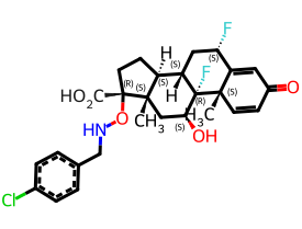 C[C@]12C=CC(=O)C=C1[C@@H](F)C[C@H]1[C@@H]3CC[C@](ONCc4ccc(Cl)cc4)(C(=O)O)[C@@]3(C)C[C@H](O)[C@@]12F